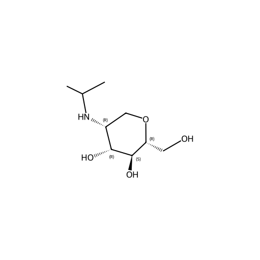 CC(C)N[C@@H]1CO[C@H](CO)[C@@H](O)[C@@H]1O